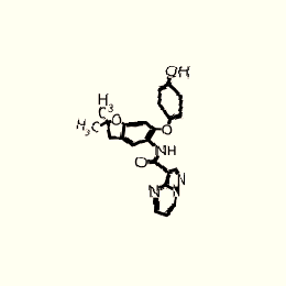 CC1(C)Cc2cc(NC(=O)c3cnn4cccnc34)c(OC3CCC(O)CC3)cc2O1